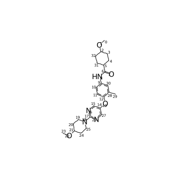 COC1CCC(C(=O)Nc2ccc(Oc3cnc(N4CCC(OC)CC4)nc3)c(C)c2)CC1